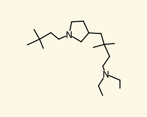 CCN(CC)CCC(C)(C)CC1CCN(CCC(C)(C)C)C1